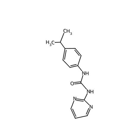 CC(C)c1ccc(NC(=O)Nc2ncccn2)cc1